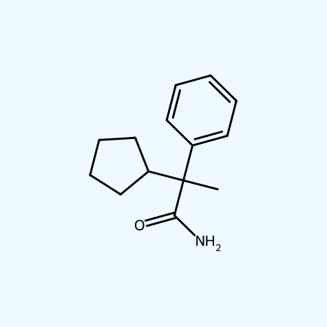 CC(C(N)=O)(c1ccccc1)C1CCCC1